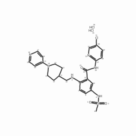 CS(=O)(=O)Nc1ccc(NCC2CCN(c3ccncc3)CC2)c(C(=O)Nc2ccc(Cl)cn2)c1.Cl.Cl